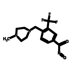 CN1CCN(Cc2ccc(C(=O)N=O)cc2C(F)(F)F)CC1